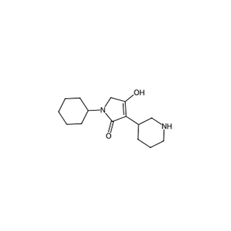 O=C1C(C2CCCNC2)=C(O)CN1C1CCCCC1